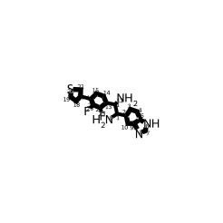 NC(c1ccc2[nH]cnc2c1)C(N)c1ccc(-c2ccsc2)c(F)c1F